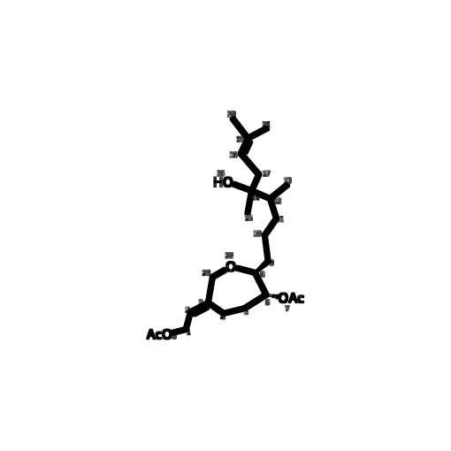 CC(=O)OC/C=C1\CC[C@@H](OC(C)=O)[C@H](CCCC(C)C(C)(O)CC=C(C)C)OC1